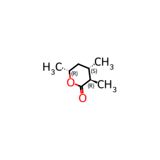 C[C@@H]1C[C@H](C)[C@@H](C)C(=O)O1